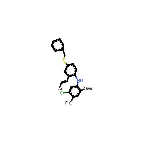 COc1cc(C(F)(F)F)c(Cl)cc1Nc1ccc(SCc2ccccc2)cc1/C=C/C(C)=O